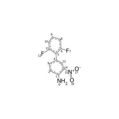 Nc1ccc(-c2c(F)cccc2F)cc1[N+](=O)[O-]